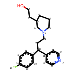 OCCC1CCCN(C[CH]C(c2ccncc2)c2ccc(F)cc2)C1